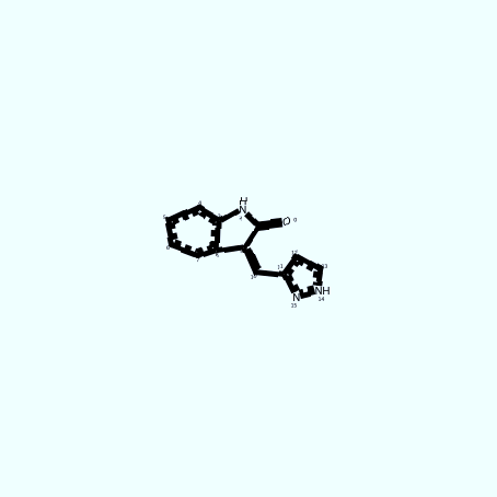 O=C1Nc2ccccc2/C1=C/c1cc[nH]n1